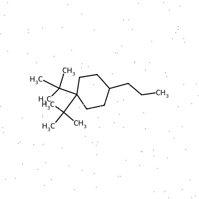 CCCC1CCC(C(C)(C)C)(C(C)(C)C)CC1